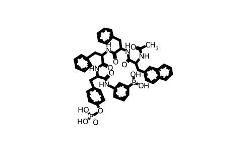 CC(=O)NC(Cc1ccc2ccccc2c1)C(=O)NC(Cc1ccccc1)C(=O)NC(Cc1ccccc1)C(=O)NC(Cc1ccc(OP(=O)(O)O)cc1)C(=O)Nc1cccc(B(O)O)c1